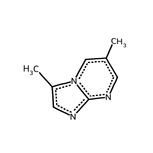 Cc1cnc2ncc(C)n2c1